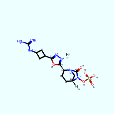 N=C(N)NC1CC(c2nnc([C@@H]3CC[C@@H]4CN3C(=O)N4OS(=O)(=O)[O-])o2)C1.[H+]